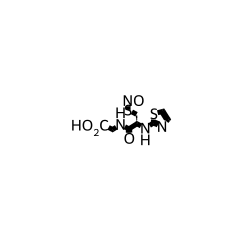 O=NSC[C@H](Nc1nccs1)C(=O)NCC(=O)O